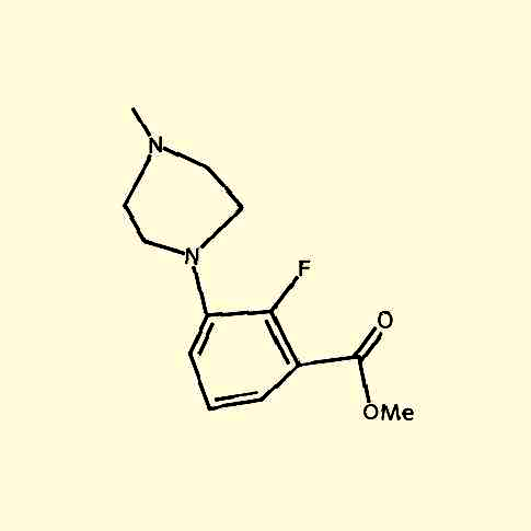 COC(=O)c1cccc(N2CCN(C)CC2)c1F